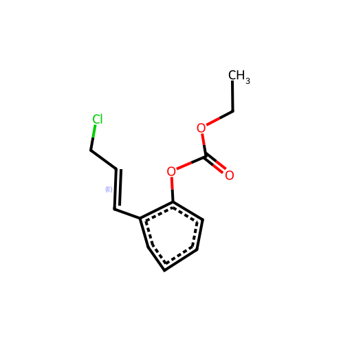 CCOC(=O)Oc1ccccc1/C=C/CCl